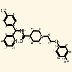 O=C(NC(c1ccc(Cl)cc1)c1ccccn1)C1CCN(CCOc2ccc(F)cc2)CC1